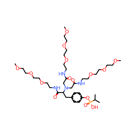 COCCOCCOCCNC(=O)CN(CC(=O)NCCOCCOCCOC)C(Cc1ccc(OP(=O)(O)C(C)C)cc1)C(=O)NCCOCCOCCOC